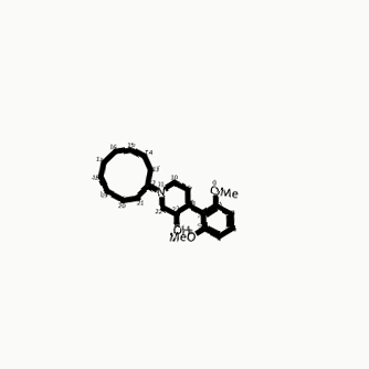 COc1cccc(OC)c1C1CCN(C2CCCCCCCCC2)CC1O